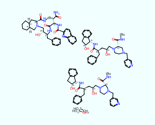 CC(C)(C)NC(=O)[C@@H]1CN(Cc2cccnc2)CCN1C[C@@H](O)C[C@@H](Cc1ccccc1)C(=O)N[C@H]1c2ccccc2C[C@H]1O.CC(C)(C)NC(=O)[C@@H]1CN(Cc2cccnc2)CCN1C[C@@H](O)C[C@@H](Cc1ccccc1)C(=O)N[C@H]1c2ccccc2C[C@H]1O.CC(C)(C)NC(=O)[C@@H]1C[C@@H]2CCCC[C@@H]2CN1C[C@@H](O)[C@H](Cc1ccccc1)NC(=O)[C@H](CC(N)=O)NC(=O)c1ccc2ccccc2n1.CS(=O)(=O)O.O=S(=O)(O)O